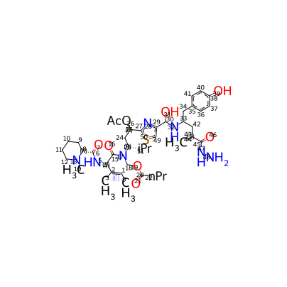 C/C=C(\C)[C@H](NC(=O)[C@H]1CCCCN1C)C(=O)N(COC(=O)CCC)[C@H](C[C@@H](OC(C)=O)c1nc(C(O)NC(Cc2ccc(O)cc2)C[C@H](C)C(=O)NN)cs1)C(C)C